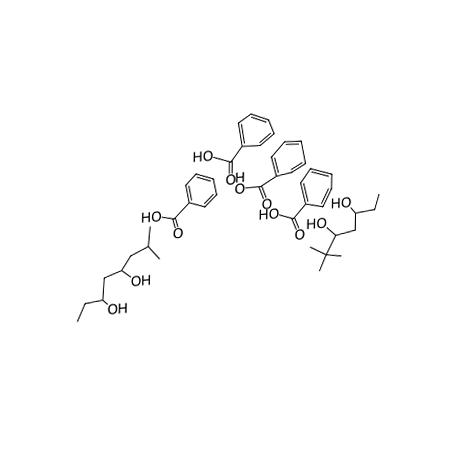 CCC(O)CC(O)C(C)(C)C.CCC(O)CC(O)CC(C)C.O=C(O)c1ccccc1.O=C(O)c1ccccc1.O=C(O)c1ccccc1.O=C(O)c1ccccc1